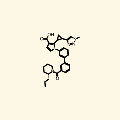 CCC[C@@H]1CCCCN1C(=O)c1cccc(-c2cccc(-n3ccc(C(=O)O)c3C3CC3c3cn(C)nn3)c2)c1